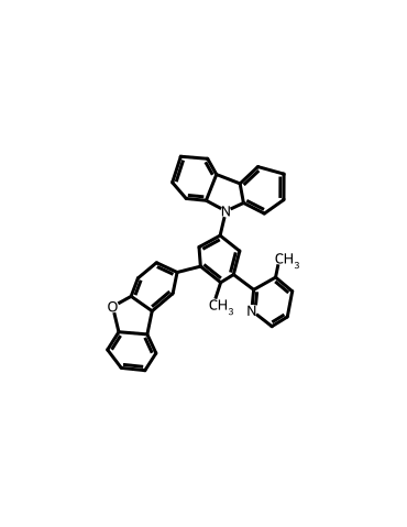 Cc1cccnc1-c1cc(-n2c3ccccc3c3ccccc32)cc(-c2ccc3oc4ccccc4c3c2)c1C